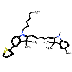 CCN1/C(=C/C=C/C=C/C2=[N+](CCCCCC(=O)O)c3ccc(-c4cccs4)cc3C2(C)C)C(C)(C)c2cc([N+](=O)[O-])ccc21